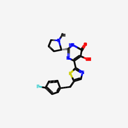 CC(=O)N1CCC[C@H]1c1nc(-c2ncc(Cc3ccc(F)cc3)s2)c(O)c(=O)[nH]1